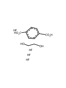 F.F.F.F.O=C(O)c1ccc(C(=O)O)cc1.OCCO